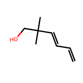 C=C/C=C/C(C)(C)CO